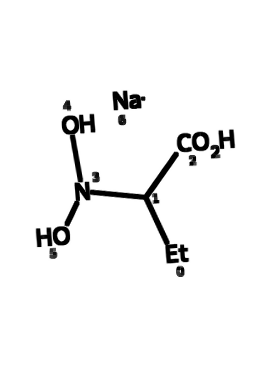 CCC(C(=O)O)N(O)O.[Na]